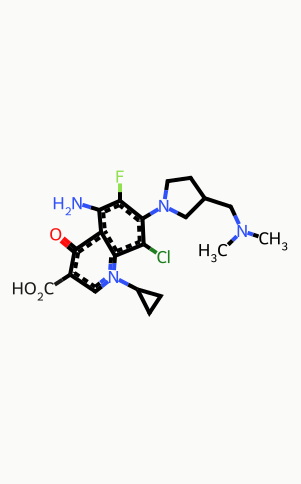 CN(C)CC1CCN(c2c(F)c(N)c3c(=O)c(C(=O)O)cn(C4CC4)c3c2Cl)C1